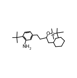 CC(C)(C)c1ccc(CCC(CC2CCCCC2)O[Si](C)(C)C(C)(C)C)cc1N